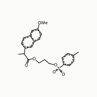 COc1ccc2cc(C(C)C(=O)OCCCOS(=O)(=O)c3ccc(C)cc3)ccc2c1